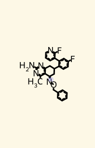 Cc1nc(N)nc2c1/C(=N/OCc1ccccc1)CC(c1ccc(F)cc1-c1cccnc1F)C2